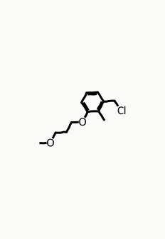 COCCCOc1cccc(CCl)c1C